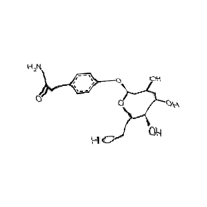 NC(=O)c1ccc(O[C@@H]2OC(CO)[C@H](O)C(O)C2O)cc1